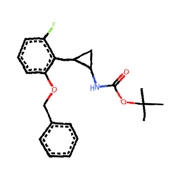 CC(C)(C)OC(=O)NC1CC1c1c(F)cccc1OCc1ccccc1